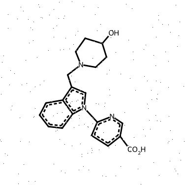 O=C(O)c1ccc(-n2cc(CN3CCC(O)CC3)c3ccccc32)nc1